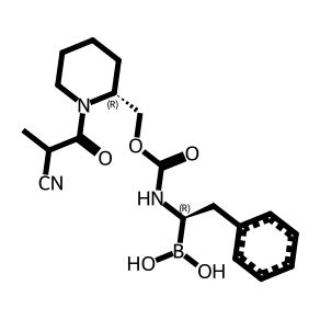 CC(C#N)C(=O)N1CCCC[C@@H]1COC(=O)N[C@@H](Cc1ccccc1)B(O)O